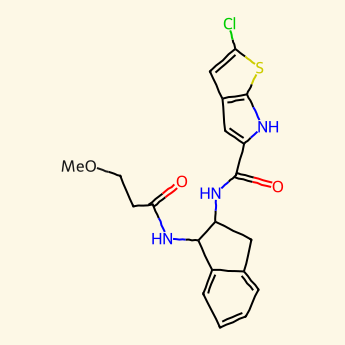 COCCC(=O)NC1c2ccccc2CC1NC(=O)c1cc2cc(Cl)sc2[nH]1